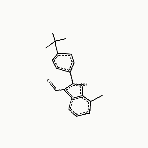 Cc1cccc2c(C=O)c(-c3ccc(C(C)(C)C)cc3)[nH]c12